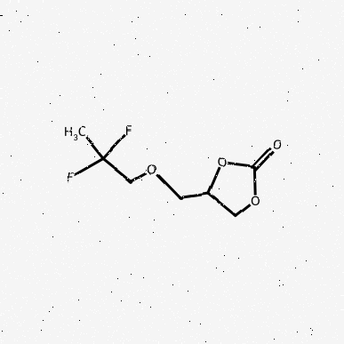 CC(F)(F)COCC1COC(=O)O1